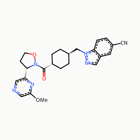 COc1cncc([C@@H]2CCON2C(=O)[C@H]2CC[C@H](Cn3ncc4cc(C#N)ccc43)CC2)n1